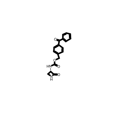 O=C(N[C@H]1CNC1=O)OCc1ccc(C(=O)c2ccccc2)cc1